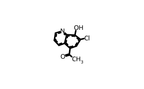 CC(=O)c1cc(Cl)c(O)c2ncccc12